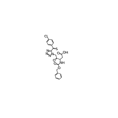 O=C(O)CC(NC(=O)OCc1ccccc1)C(=O)Cn1nnnc1C(=S)c1ccc(Cl)cc1